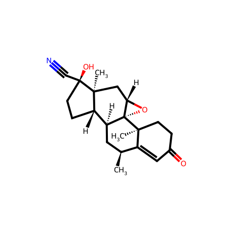 C[C@H]1C[C@H]2[C@@H]3CC[C@](O)(C#N)[C@@]3(C)C[C@@H]3O[C@@]32[C@@]2(C)CCC(=O)C=C12